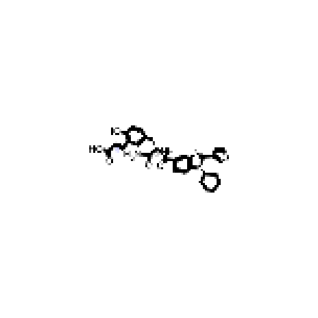 NC(=O)[C@H](Cc1ccc(O)c(/C=C/C(=O)O)c1)NC(=O)c1ccc2c(c1)nc(-c1ccoc1)n2C1CCCCC1